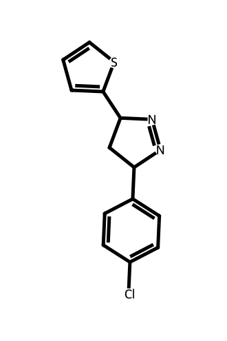 Clc1ccc(C2CC(c3cccs3)N=N2)cc1